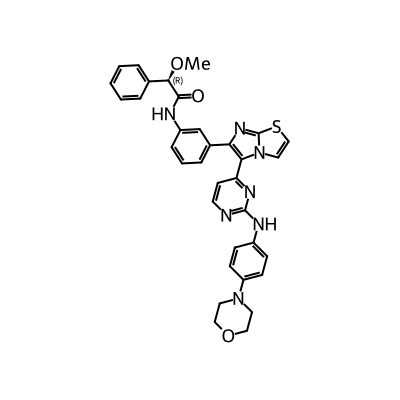 CO[C@@H](C(=O)Nc1cccc(-c2nc3sccn3c2-c2ccnc(Nc3ccc(N4CCOCC4)cc3)n2)c1)c1ccccc1